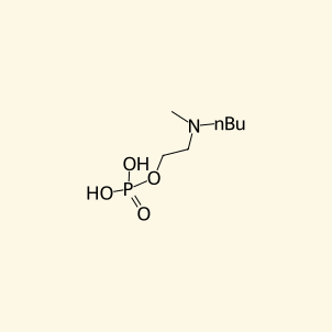 CCCCN(C)CCOP(=O)(O)O